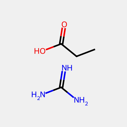 CCC(=O)O.N=C(N)N